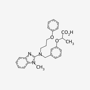 CC(Oc1cccc(CN(CCCOc2ccccc2)c2nc3ccccc3n2C)c1)C(=O)O